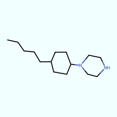 CCCCCC1CCC(N2CCNCC2)CC1